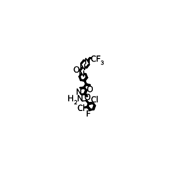 C[C@@H](Oc1c(N)ncc2c(C3=CCN(C(=O)N4CCN(CC(F)(F)F)CC4)CC3)coc12)c1c(Cl)ccc(F)c1Cl